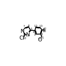 O=Cc1cc(-c2ccnc(Cl)n2)ccc1F